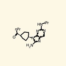 CCCC(=O)[C@H]1CC[C@@H](n2c(N)nc3cnc(NC(C)C)nc32)CC1